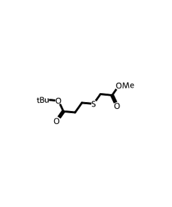 COC(=O)CSCCC(=O)OC(C)(C)C